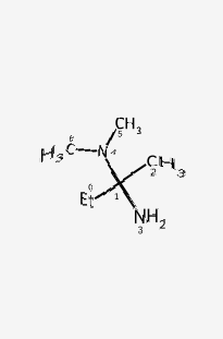 CCC(C)(N)N(C)C